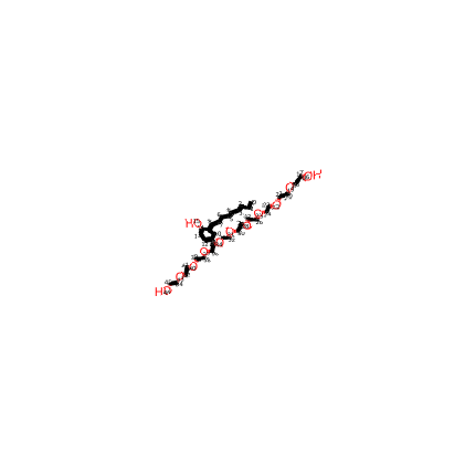 CCCCCCCCCc1ccccc1O.OCCOCCOCCOCCOCCOCCOCCOCCOCCOCCO